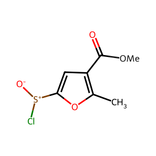 COC(=O)c1cc([S+]([O-])Cl)oc1C